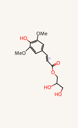 COc1cc(/C=C/C(=O)OCC(O)CO)cc(OC)c1O